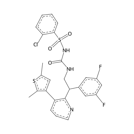 Cc1cc(-c2cccnc2C(CNC(=O)NS(=O)(=O)c2ccccc2Cl)c2cc(F)cc(F)c2)c(C)s1